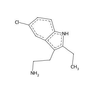 CCc1[nH]c2ccc(Cl)cc2c1CCN